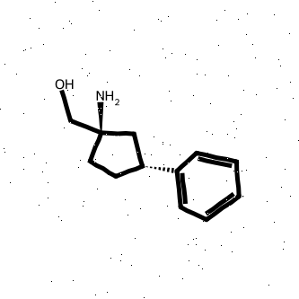 N[C@]1(CO)CC[C@@H](c2cc[c]cc2)C1